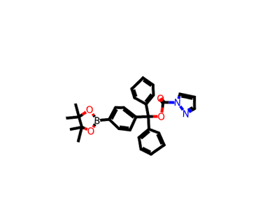 CC1(C)OB(c2ccc(C(OC(=O)n3cccn3)(c3ccccc3)c3ccccc3)cc2)OC1(C)C